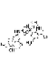 CCN(CC(=O)Nc1ccc2c(c1)OCCN2C(C)(C)CO)S(=O)(=O)c1cc(C)cc(C=N)c1N